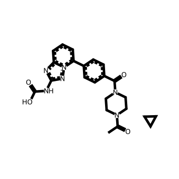 C1CC1.CC(=O)N1CCN(C(=O)c2ccc(-c3cccc4nc(NC(=O)O)nn34)cc2)CC1